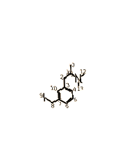 C[C@H](Cc1cccc(CI)c1)N(C)C